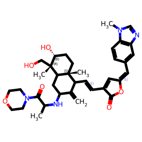 C=C1C(NC(C)C(=O)N2CCOCC2)CC2[C@](C)(CC[C@@H](O)[C@@]2(C)CO)C1/C=C/C1=CC(=C\c2ccc3c(c2)ncn3C)/OC1=O